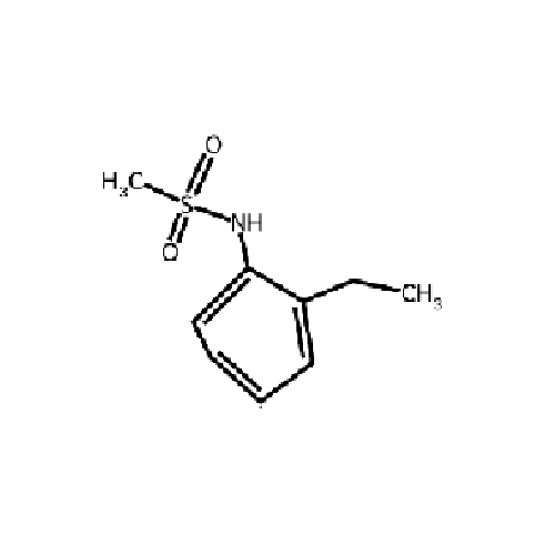 CCc1c[c]ccc1NS(C)(=O)=O